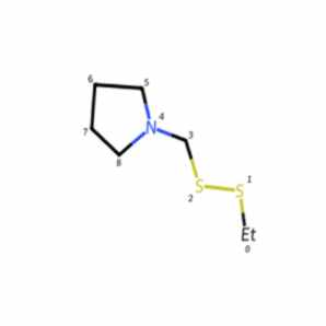 CCSSCN1CCCC1